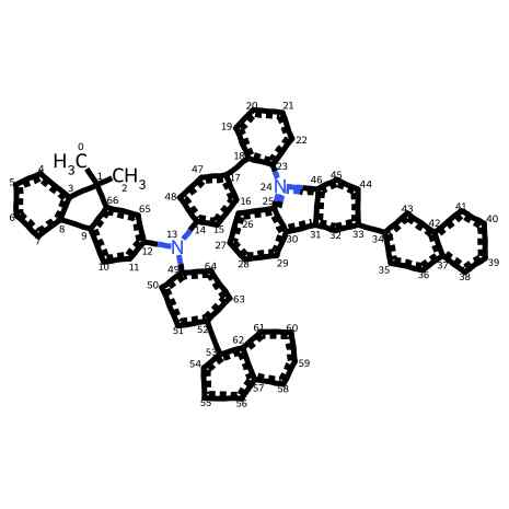 CC1(C)c2ccccc2-c2ccc(N(c3ccc(-c4ccccc4-n4c5ccccc5c5cc(-c6ccc7ccccc7c6)ccc54)cc3)c3ccc(-c4cccc5ccccc45)cc3)cc21